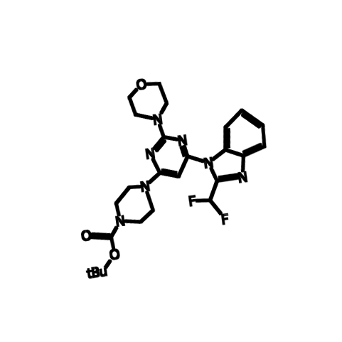 CC(C)(C)OC(=O)N1CCN(c2cc(-n3c(C(F)F)nc4ccccc43)nc(N3CCOCC3)n2)CC1